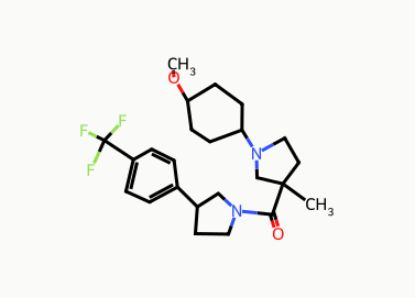 COC1CCC(N2CCC(C)(C(=O)N3CCC(c4ccc(C(F)(F)F)cc4)C3)C2)CC1